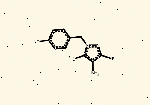 CC(C)c1nn(Cc2ccc(C#N)cc2)c(C(F)(F)F)c1N